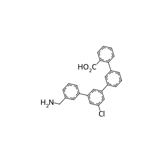 NCc1cccc(-c2cc(Cl)cc(-c3cccc(-c4ccccc4C(=O)O)c3)c2)c1